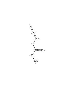 CCCOC(=O)CN=[N+]=[N-]